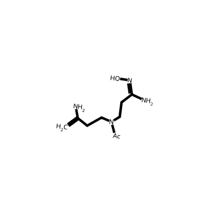 C=C(N)CCN(CC/C(N)=N\O)C(C)=O